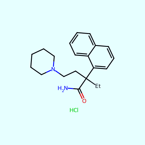 CCC(CCN1CCCCC1)(C(N)=O)c1cccc2ccccc12.Cl